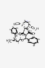 CN(CCOC(c1ccccc1)N1C(=O)CSC1=O)c1ccccn1.O=C(O)/C=C\C(=O)O